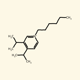 CCCCCC[n+]1ccc(C(C)C)c(C(C)C)c1